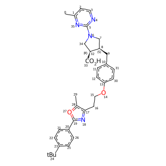 Cc1ccnc(N2C[C@@H](Cc3ccc(OCCc4nc(-c5ccc(C(C)(C)C)cc5)oc4C)cc3)[C@@H](C(=O)O)C2)n1